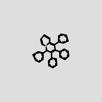 C1=CC2=C(c3ccccc3)C(c3ccccc3)=C(c3ccccc3)C(c3ccccc3)N2C=C1